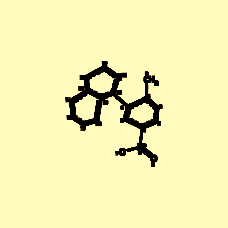 Cc1ccc([N+](=O)[O-])cc1-c1nccc2ccccc12